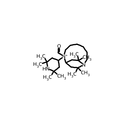 CC1(C)CC([N+]2(C=O)CCCCCCN3C(C)(C)CC2CC3(C)C)CC(C)(C)N1